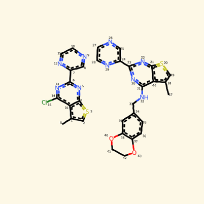 Cc1csc2nc(-c3cnccn3)nc(Cl)c12.Cc1csc2nc(-c3cnccn3)nc(NCc3ccc4c(c3)OCCO4)c12